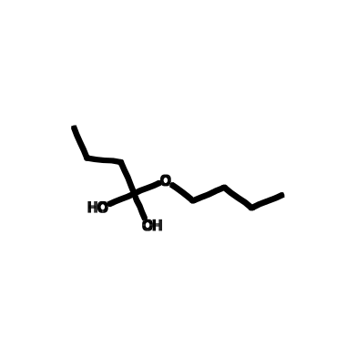 CCCCOC(O)(O)CCC